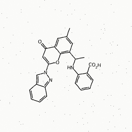 Cc1cc(C(C)Nc2ccccc2C(=O)O)c2oc(-n3cc4ccccc4n3)cc(=O)c2c1